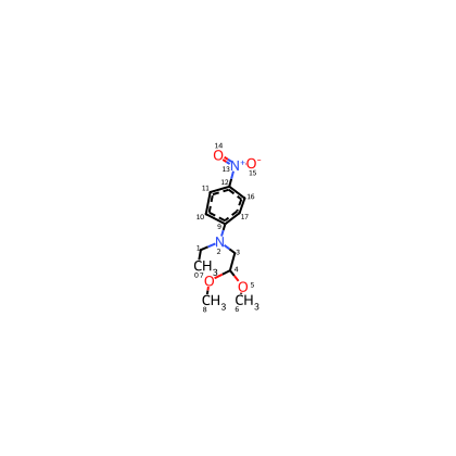 CCN(CC(OC)OC)c1ccc([N+](=O)[O-])cc1